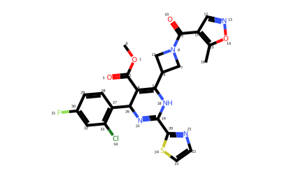 COC(=O)C1=C(C2CN(C(=O)c3cnoc3C)C2)NC(c2nccs2)=NC1c1ccc(F)cc1Cl